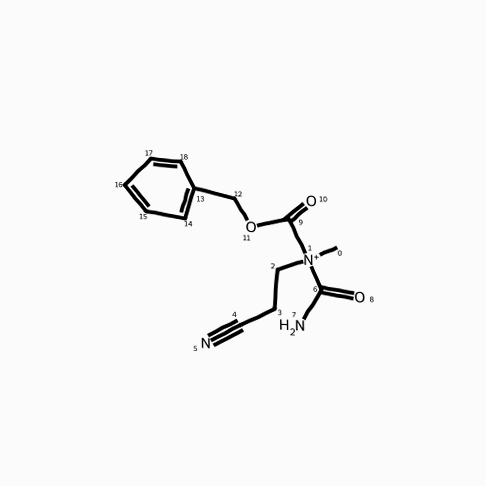 C[N+](CCC#N)(C(N)=O)C(=O)OCc1ccccc1